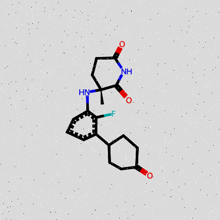 C[C@@]1(Nc2cccc(C3CCC(=O)CC3)c2F)CCC(=O)NC1=O